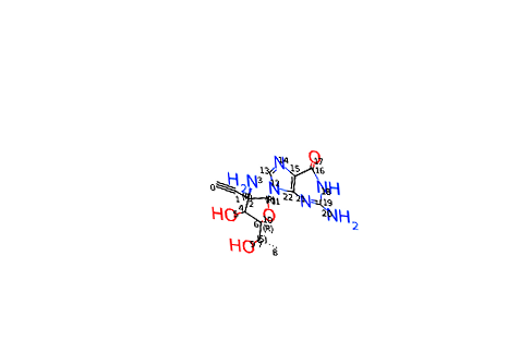 C#C[C@@]1(N)C(O)[C@@H]([C@H](C)O)O[C@H]1n1cnc2c(=O)[nH]c(N)nc21